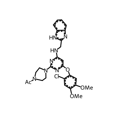 COc1cc(Cl)c(Oc2cc(NCc3nc4ccccc4[nH]3)nc(N3CCN(C(C)=O)CC3)n2)cc1OC